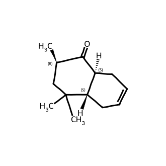 C[C@@H]1CC(C)(C)[C@H]2CC=CC[C@@H]2C1=O